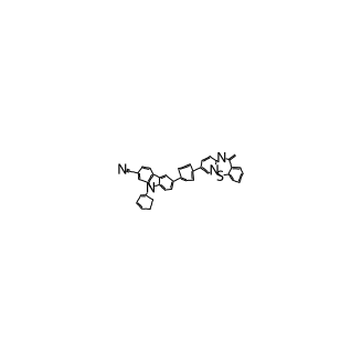 C=C1N=C2C=CC(c3ccc(-c4ccc5c(c4)c4ccc(C#N)cc4n5C4=CC=CCC4)cc3)=CN2Sc2ccccc21